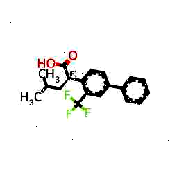 CC(C)C[C@@H](C(=O)O)c1ccc(-c2ccccc2)cc1C(F)(F)F